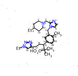 CCC1CCN(Cc2nccn2Cc2cc(C(CCc3cn(CC)nn3)C(C)(C)C(=O)O)ccc2C)CC1